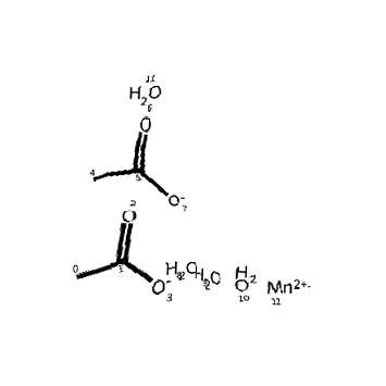 CC(=O)[O-].CC(=O)[O-].O.O.O.O.[Mn+2]